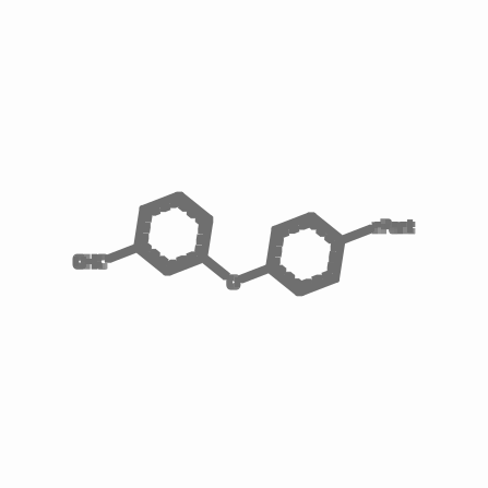 CCCCCc1ccc(Oc2cccc(C=O)c2)cc1